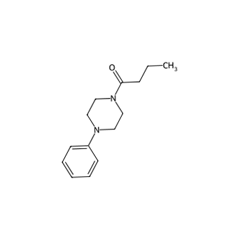 CCCC(=O)N1CCN(c2ccccc2)CC1